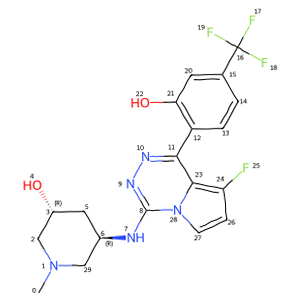 CN1C[C@H](O)C[C@@H](Nc2nnc(-c3ccc(C(F)(F)F)cc3O)c3c(F)ccn23)C1